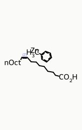 CCCCCCCC/C=C\CCCCCCCC(=O)O.Cc1ccccc1.[Zn]